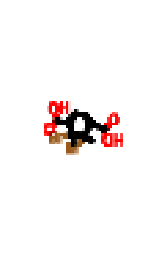 CC1(Br)C(C(=O)O)=CC=C(C(=O)O)C1(C)Br